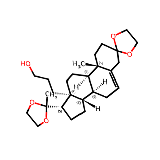 CC1([C@H]2CC[C@H]3[C@@H]4CC=C5CC6(CC[C@@]5(C)[C@@H]4CC[C@]23CCCO)OCCO6)OCCO1